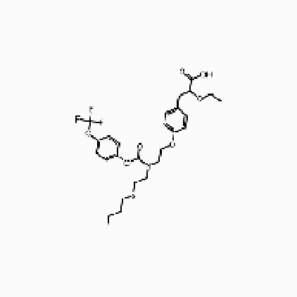 CCCCSCCN(CCOc1ccc(CC(OCC)C(=O)O)cc1)C(=O)Oc1ccc(OC(F)(F)F)cc1